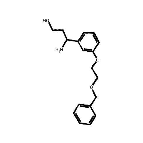 NC(CCO)c1cccc(OCCOCc2ccccc2)c1